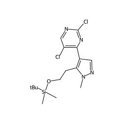 Cn1ncc(-c2nc(Cl)ncc2Cl)c1CCO[Si](C)(C)C(C)(C)C